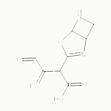 C=C(C=O)C(C(=O)O)C1=NC2CNC2O1